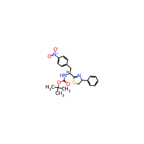 CC(C)(C)OC(=O)N[C@@H](Cc1ccc([N+](=O)[O-])cc1)C1=NC(c2ccccc2)CS1